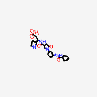 O=C(O)CC(NC(=O)C1CC(=O)N(c2cccc(NC(=O)c3ccccc3)c2)C1)c1cccnc1